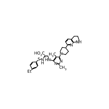 CCc1ccc(SN[C@@H](CNc2nc(C)nc(N3CCC(c4ccc5c(n4)NCCC5)CC3)c2C)C(=O)O)cc1